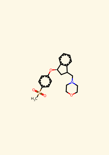 CS(=O)(=O)c1ccc(O[C@@H]2CC(CN3CCOCC3)c3ccccc32)cc1